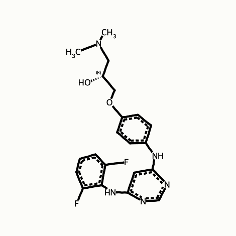 CN(C)C[C@@H](O)COc1ccc(Nc2cc(Nc3c(F)cccc3F)ncn2)cc1